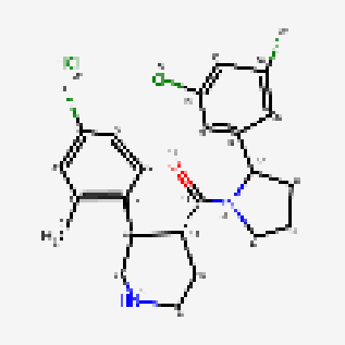 Cc1cc(F)ccc1[C@@H]1CNCC[C@H]1C(=O)N1CCCC1c1cc(Cl)cc(Cl)c1.Cl